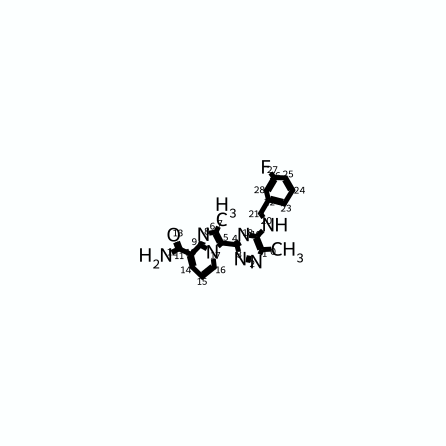 Cc1nnc(-c2c(C)nc3c(C(N)=O)cccn23)nc1NCc1cccc(F)c1